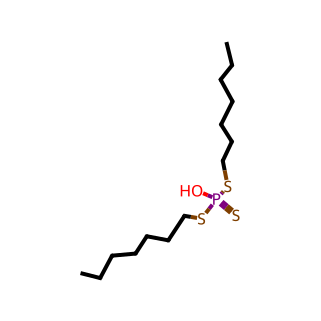 CCCCCCCSP(O)(=S)SCCCCCCC